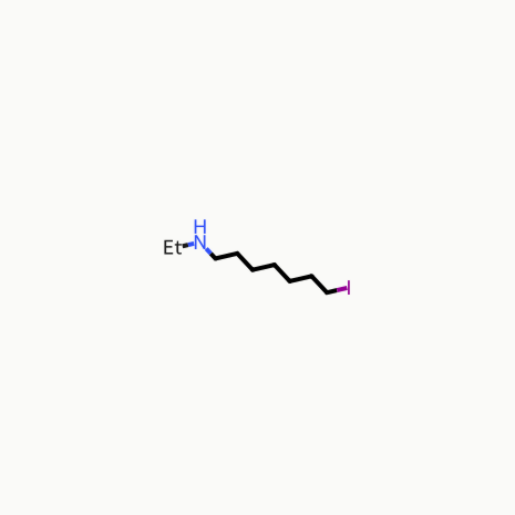 CCNCCCCCCCI